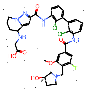 COc1cc(C(=O)Nc2cccc(-c3cccc(NC(=O)c4cc5n(n4)CCCC5NCC(=O)O)c3Cl)c2Cl)cc(F)c1CN1CC[C@@H](O)C1